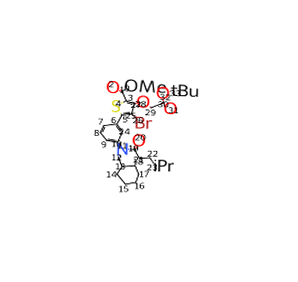 COC(=O)c1sc(-c2cccc(N(CC3CCCCC3)C(=O)CCC(C)C)c2)c(Br)c1OCC(=O)OC(C)(C)C